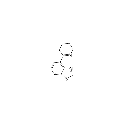 c1cc(C2=NCCCC2)c2ncsc2c1